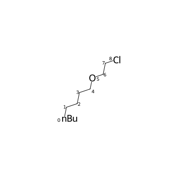 [CH2]CCCCCCCOCCCl